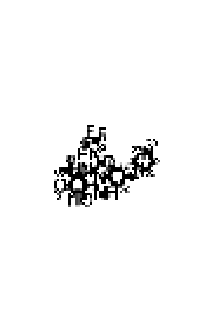 COc1cc(O)c(C(=N)N(C(=N)C(=O)NCC(F)(F)F)c2ccc(CN3CCN(C)CC3)cc2F)cc1C(C)C